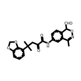 CC1=NOC(C=O)c2ccc(NC(=O)C(=O)CC(C)(C)c3cccc4c3OCO4)cc21